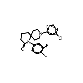 O=C1CCCC2(CCN(c3cc(Cl)ncn3)CC2)N1c1ccc(F)c(F)c1